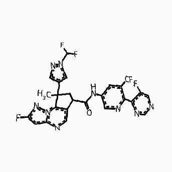 CC1(c2cnn(C(F)F)c2)CC(C(=O)Nc2cnc(-c3ncncc3F)c(C(F)(F)F)c2)c2cnc3cc(F)nn3c21